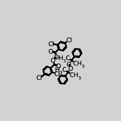 CC(C)(OOC(C)(C)c1ccccc1)c1ccccc1.O=C(OOC(=O)c1ccc(Cl)cc1Cl)c1ccc(Cl)cc1Cl